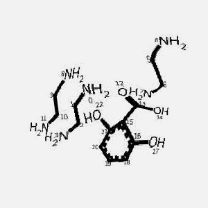 NCCN.NCCN.NCCN.O=C(O)c1c(O)cccc1O